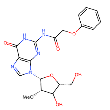 CO[C@H]1C(O)[C@@H](CO)O[C@H]1n1cnc2c(=O)[nH]c(NC(=O)COc3ccccc3)nc21